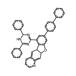 C1=c2cccnc2=CC2Oc3cc(-c4ccc(-c5ccccc5)cc4)cc(C4=NC(c5ccccc5)NC(c5ccccc5)=N4)c3C12